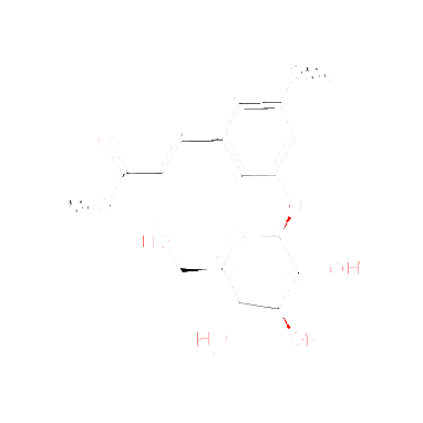 COC(=O)/C=C/c1cc(OC)cc(O[C@@H]2O[C@H](CO)[C@@H](O)[C@H](O)[C@H]2O)c1